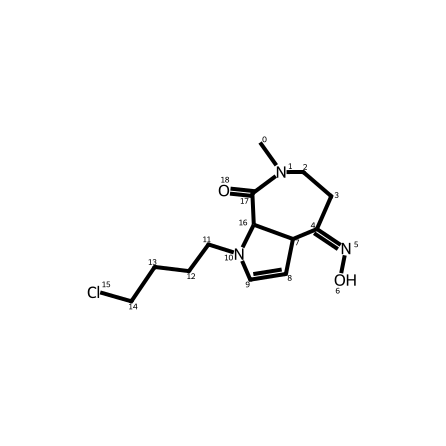 CN1CC/C(=N/O)C2C=CN(CCCCCl)C2C1=O